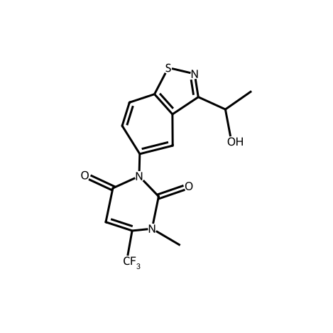 CC(O)c1nsc2ccc(-n3c(=O)cc(C(F)(F)F)n(C)c3=O)cc12